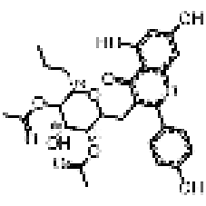 CCC[C@@H]1OC(Cc2c(-c3ccc(O)cc3)oc3cc(O)cc(O)c3c2=O)[C@H](OC(C)=O)[C@H](O)C1OC(C)=O